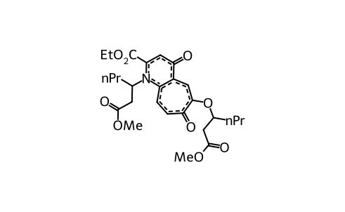 CCCC(CC(=O)OC)Oc1cc2c(=O)cc(C(=O)OCC)n(C(CCC)CC(=O)OC)c2ccc1=O